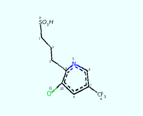 O=S(=O)(O)CCCc1ncc(C(F)(F)F)cc1Cl